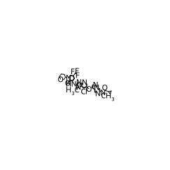 CN(C(=O)C1CC1)c1cn2ncc(Oc3cnc4nc(Nc5cc(C(F)(F)F)cn(C6CCCOC6)c5=O)n(C)c4c3Cl)c2cn1